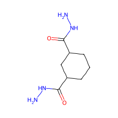 NNC(=O)C1CCCC(C(=O)NN)C1